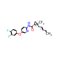 C=C/C=C/C[C@]1(C(F)(F)F)C[C@@H]1C(=O)Nc1ccc(Oc2ccc(F)c(F)c2)cn1